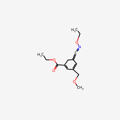 CCON=C=C1C=C(COC)C=C(C(=O)OCC)C1